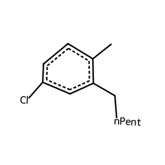 CCCCCCc1cc(Cl)ccc1C